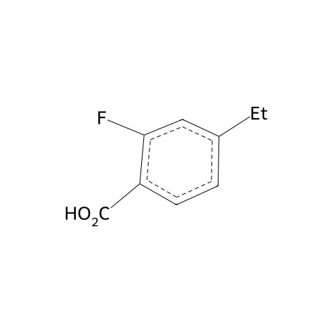 CCc1ccc(C(=O)O)c(F)c1